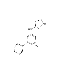 Cl.c1ccc(-c2cccc(NC3CCNC3)c2)cc1